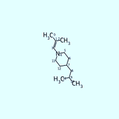 CC(C)=CN1CCC(CC(C)C)CC1